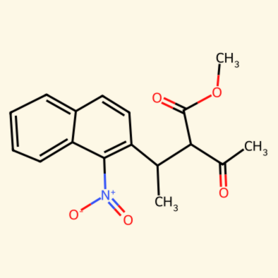 COC(=O)C(C(C)=O)C(C)c1ccc2ccccc2c1[N+](=O)[O-]